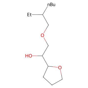 CCCCC(CC)COCC(O)C1CCCO1